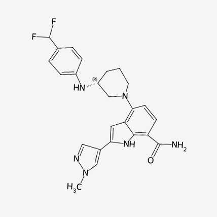 Cn1cc(-c2cc3c(N4CCC[C@@H](Nc5ccc(C(F)F)cc5)C4)ccc(C(N)=O)c3[nH]2)cn1